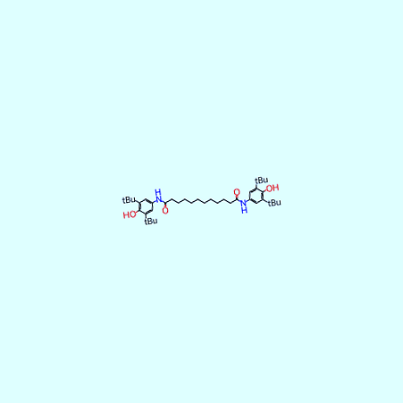 CC(C)(C)c1cc(NC(=O)CCCCCCCCCCC(=O)Nc2cc(C(C)(C)C)c(O)c(C(C)(C)C)c2)cc(C(C)(C)C)c1O